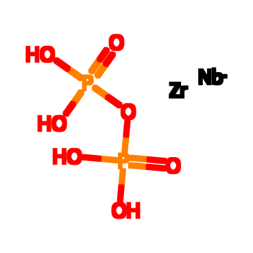 O=P(O)(O)OP(=O)(O)O.[Nb].[Zr]